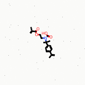 C=C(C)C(=O)OCCN(C(=O)O)C(C)(C)c1ccc(C(=C)C)cc1